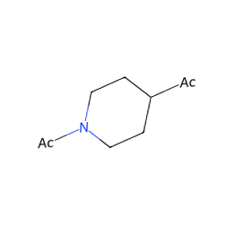 CC(=O)C1CCN(C(C)=O)CC1